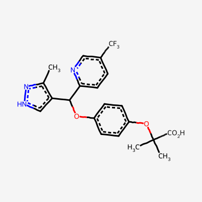 Cc1n[nH]cc1C(Oc1ccc(OC(C)(C)C(=O)O)cc1)c1ccc(C(F)(F)F)cn1